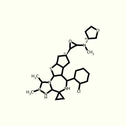 CC1N(C)NC2N1C1SC3C[C@@H](C4OC4N(C)[C@@H]4CCOC4)CC3C1C(C1CCCCC1Cl)NC21CC1